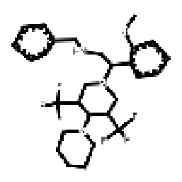 COc1ccccc1C(CNCc1ccccc1)N1CC(C(F)(F)F)C(N2CCCCC2)C(C(F)(F)F)C1